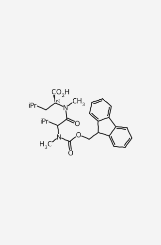 CC(C)C[C@@H](C(=O)O)N(C)C(=O)C(C(C)C)N(C)C(=O)OCC1c2ccccc2-c2ccccc21